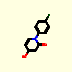 O=c1cc(O)ccn1-c1ccc(F)cc1